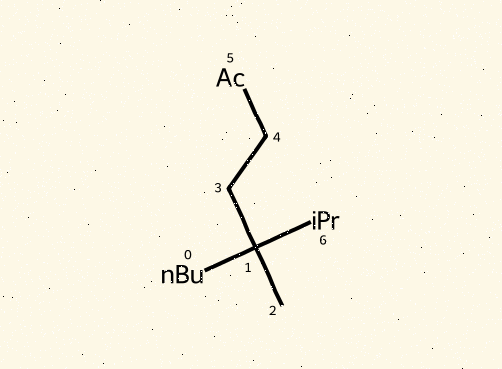 CCCCC(C)(CCC(C)=O)C(C)C